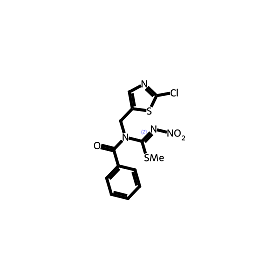 CS/C(=N\[N+](=O)[O-])N(Cc1cnc(Cl)s1)C(=O)c1ccccc1